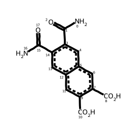 NC(=O)c1cc2cc(C(=O)O)c(C(=O)O)cc2cc1C(N)=O